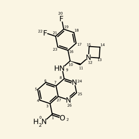 NC(=O)c1cccc2c(N[C@H](CN3CCC3)c3ccc(F)c(F)c3)ncnc12